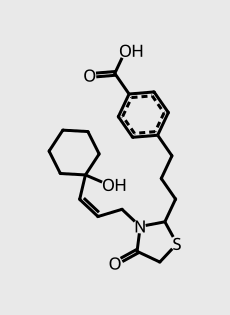 O=C(O)c1ccc(CCCC2SCC(=O)N2C/C=C\C2(O)CCCCC2)cc1